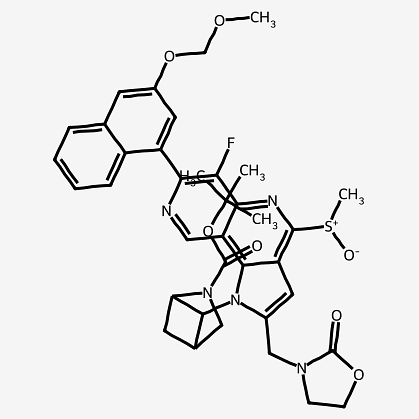 COCOc1cc(-c2ncc3c(nc([S+](C)[O-])c4cc(CN5CCOC5=O)n(C5C6CC5N(C(=O)OC(C)(C)C)C6)c43)c2F)c2ccccc2c1